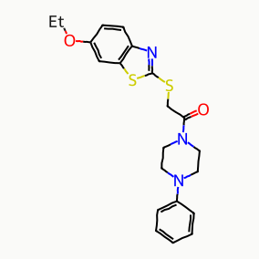 CCOc1ccc2nc(SCC(=O)N3CCN(c4ccccc4)CC3)sc2c1